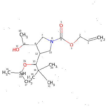 C=CCOC(=O)N1CC(C(C)O)C(C(O[SiH](C)C)C(C)(C)C)C1